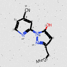 COCc1cc(O)n(-c2cc(C#N)ccn2)n1